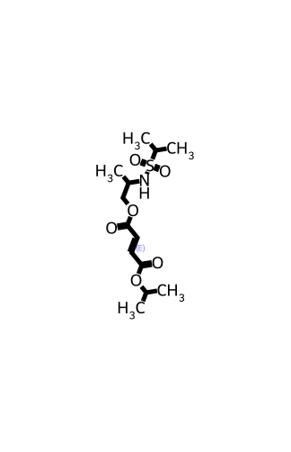 CC(COC(=O)/C=C/C(=O)OC(C)C)NS(=O)(=O)C(C)C